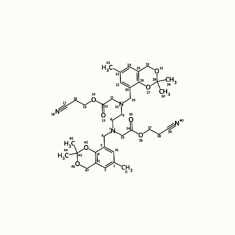 Cc1cc2c(c(CN(CCN(CC(=O)OCCC#N)Cc3cc(C)cc4c3OC(C)(C)OC4)CC(=O)OCCC#N)c1)OC(C)(C)OC2